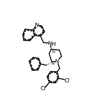 Clc1ccc(CN2CC[C@H](NCc3ccnc4ccccc34)C[C@H]2Cc2ccccc2)c(Cl)c1